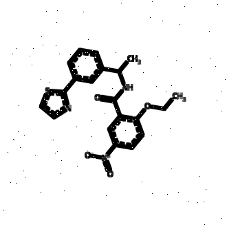 CCOc1ccc([N+](=O)[O-])cc1C(=O)NC(C)c1cccc(-c2nccs2)c1